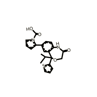 CC(C)C1(c2cccs2)OCC(=O)Nc2ccc(-c3cccn3C(=O)O)cc21